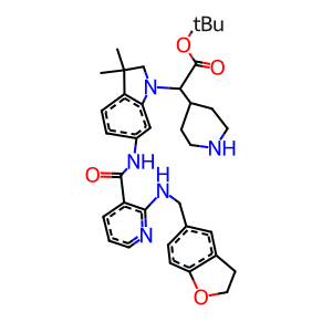 CC(C)(C)OC(=O)C(C1CCNCC1)N1CC(C)(C)c2ccc(NC(=O)c3cccnc3NCc3ccc4c(c3)CCO4)cc21